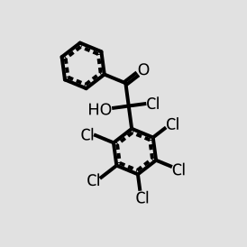 O=C(c1ccccc1)C(O)(Cl)c1c(Cl)c(Cl)c(Cl)c(Cl)c1Cl